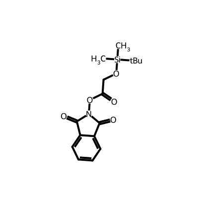 CC(C)(C)[Si](C)(C)OCC(=O)ON1C(=O)c2ccccc2C1=O